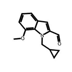 COc1cccc2cc(C=O)n(CC3CC3)c12